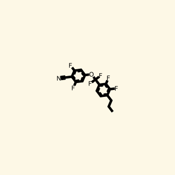 CCCc1ccc(C(F)(F)Oc2cc(F)c(C#N)c(F)c2)c(F)c1F